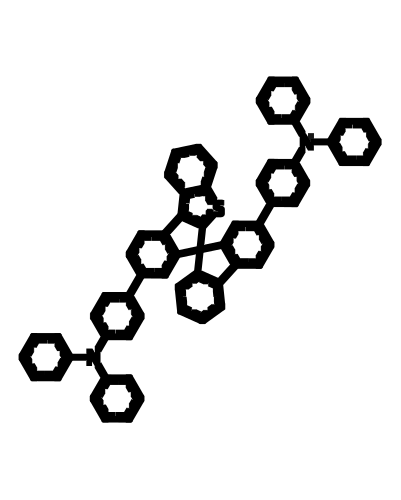 c1ccc(N(c2ccccc2)c2ccc(-c3ccc4c(c3)C3(c5ccccc5-4)c4cc(-c5ccc(N(c6ccccc6)c6ccccc6)cc5)ccc4-c4c3sc3ccccc43)cc2)cc1